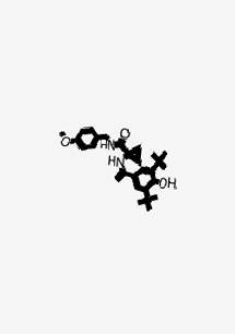 C=C(NC1(C(=O)NCc2ccc(OC)cc2)CC1)c1cc(C(C)(C)C)c(O)c(C(C)(C)C)c1